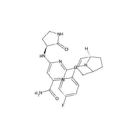 NC(=O)c1cc(N[C@H]2CCNC2=O)nc(C2=C[C@H]3CCC(C2)N3Oc2ccc(F)cc2)n1